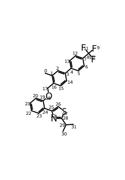 Cc1cc(-c2ccc(C(F)(F)F)cc2)ccc1COc1ccccc1-c1csc(C(C)C)n1